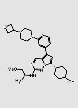 COC[C@H](C)Nc1ncc2c(-c3ccnc(N4CCN(C5COC5)CC4)c3)cc([C@H]3CC[C@H](O)CC3)n2n1